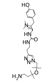 CN(C)[C@H](CNC(=O)NCCc1cn(CC(C)(C)OC(C)(C)CCN)nn1)Cc1ccc(O)cc1